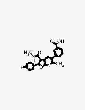 CNC(=O)c1c(-c2ccc(F)cc2)oc2nc(C)c(-c3cccc(C(=O)O)c3)cc12